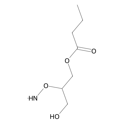 CCCC(=O)OCC(CO)O[NH]